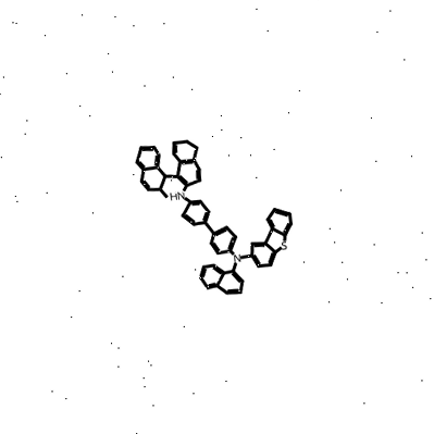 CC1C=Cc2ccccc2C1c1c(Nc2ccc(-c3ccc(N(c4ccc5sc6ccccc6c5c4)c4cccc5ccccc45)cc3)cc2)ccc2c1C=CCC2